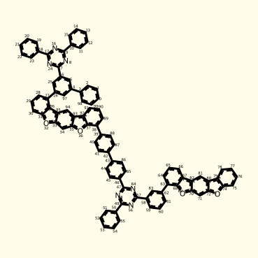 c1ccc(-c2cc(-c3nc(-c4ccccc4)nc(-c4ccccc4)n3)cc(-c3cccc4oc5cc6oc7c(-c8ccc(-c9ccc(-c%10nc(-c%11ccccc%11)nc(-c%11cccc(-c%12cccc%13c%12oc%12cc%14oc%15ccccc%15c%14cc%12%13)c%11)n%10)cc9)cc8)cccc7c6cc5c34)c2)cc1